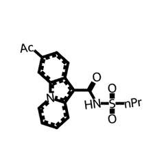 CCCS(=O)(=O)NC(=O)c1c2ccc(C(C)=O)cc2n2ccccc12